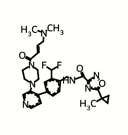 CN(C)CC=CC(=O)N1CCN(c2cnccc2-c2ccc(CNC(=O)c3noc(C4(C)CC4)n3)c(C(F)F)c2)CC1